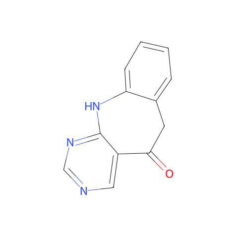 O=C1Cc2ccccc2Nc2ncncc21